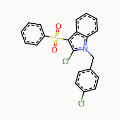 O=S(=O)(c1ccccc1)c1c(Cl)n(Cc2ccc(Cl)cc2)c2ccccc12